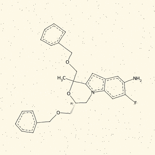 CC1(COCc2ccccc2)O[C@@H](COCc2ccccc2)Cn2c1cc1cc(N)c(F)cc12